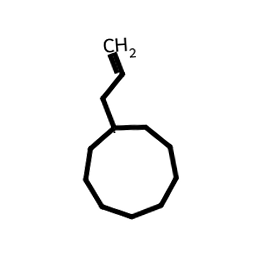 C=CC[C]1CCCCCCCC1